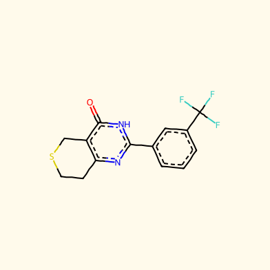 O=c1[nH]c(-c2cccc(C(F)(F)F)c2)nc2c1CSCC2